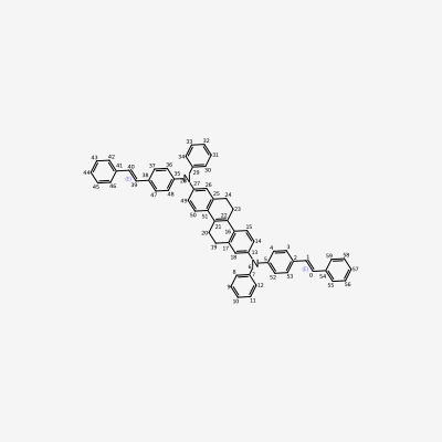 C(=C\c1ccc(N(c2ccccc2)c2ccc3c(c2)CCC2=C3CCc3cc(N(c4ccccc4)c4ccc(/C=C/c5ccccc5)cc4)ccc32)cc1)/c1ccccc1